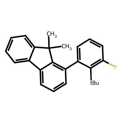 CC(C)(C)c1c(F)cccc1-c1cccc2c1C(C)(C)c1ccccc1-2